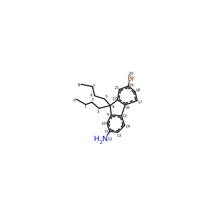 CCCCC1(CCCC)c2cc(N)ccc2-c2ccc(Br)cc21